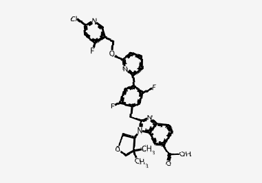 CC1(C)COCC1n1c(Cc2cc(F)c(-c3cccc(OCc4cnc(Cl)cc4F)n3)cc2F)nc2ccc(C(=O)O)cc21